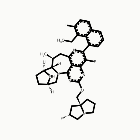 CCc1c(F)ccc2cccc(-c3nc4c5c(nc(OC[C@@]67CCCN6C[C@H](F)C7)nc5c3F)N3C[C@H]5CC[C@H](N5)[C@@H]3[C@@H](C)C4)c12